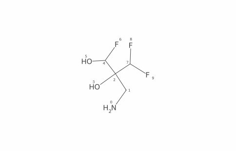 NCC(O)(C(O)F)C(F)F